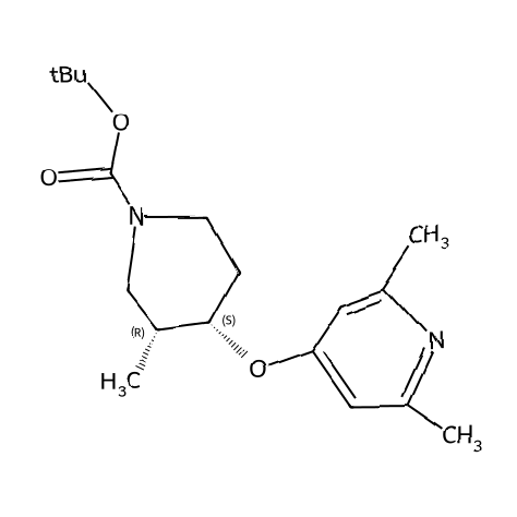 Cc1cc(O[C@H]2CCN(C(=O)OC(C)(C)C)C[C@H]2C)cc(C)n1